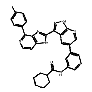 O=C(Nc1cncc(-c2cnc3[nH]nc(-c4nc5c(-c6ccc(F)cc6)nccc5[nH]4)c3c2)c1)C1CCCCC1